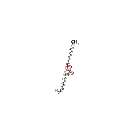 CCCCCCCCCCCCCC(=O)OC(CCCCCCCCCCC)CC(=O)Cl